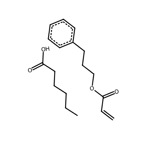 C=CC(=O)OCCCc1ccccc1.CCCCCC(=O)O